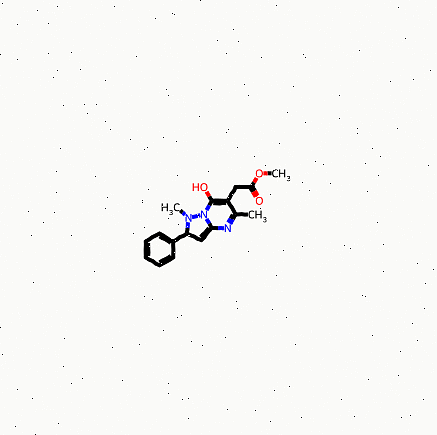 COC(=O)CC1=C(O)N2C(=CC(c3ccccc3)N2C)N=C1C